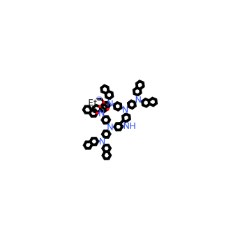 CC/C=C\c1cccc(N(c2ccc(N(c3ccc(N(c4ccc5ccccc5c4)c4ccc5ccccc5c4)cc3)c3ccc4[nH]c5ccc(N(c6ccc(N(c7ccc8ccccc8c7)c7ccc8ccccc8c7)cc6)c6ccc(N(c7ccc8ccccc8c7)c7ccc8ccccc8c7)cc6)cc5c4c3)cc2)c2ccc3ccccc3c2)c1